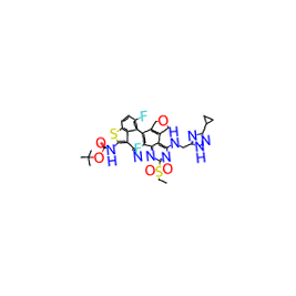 CCS(=O)(=O)c1nc(NCc2nc(C3CC3)n[nH]2)c2c3c(c(-c4c(F)ccc5sc(NC(=O)OC(C)(C)C)c(C#N)c45)c(F)c2n1)COC3